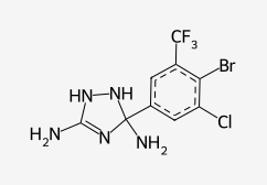 NC1=NC(N)(c2cc(Cl)c(Br)c(C(F)(F)F)c2)NN1